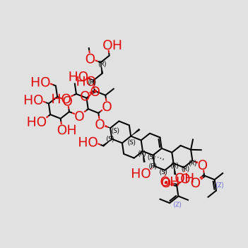 C/C=C(/C)C(=O)O[C@H]1[C@H](OC(=O)/C(C)=C\C)[C@@]2(CO)C(CC1(C)C)C1=CCC3[C@@]4(C)CC[C@H](OC(OC(C)C(=O)O)C(OC5OC(CO)C(O)C(O)C5O)C(O[C@@H](O)C[C@H](CO)OC)C(C)O)[C@H](CO)C4CC[C@@]3(C)[C@]1(C)[C@@H](O)[C@H]2O